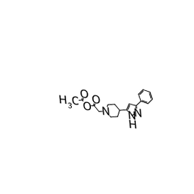 CC(=O)OC(=O)CN1CCC(c2cc(-c3ccccc3)n[nH]2)CC1